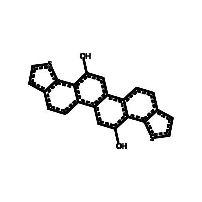 Oc1cc2c(cc(O)c3c2ccc2ccsc23)c2ccc3ccsc3c12